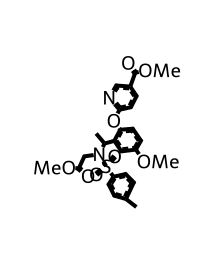 COC(=O)CN(C(C)c1cc(OC)ccc1Oc1ccc(C(=O)OC)cn1)S(=O)(=O)c1ccc(C)cc1